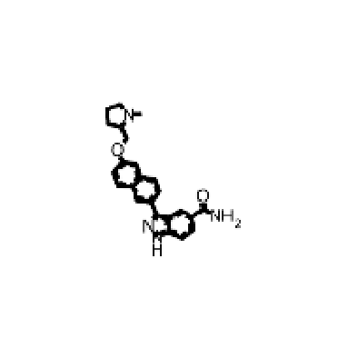 CN1CCCC1COc1ccc2cc(-c3n[nH]c4ccc(C(N)=O)cc34)ccc2c1